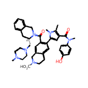 Cc1c(C(=O)N(C)c2ccc(O)cc2)cc(-c2cc3c(cc2C(=O)N2Cc4ccccc4C[C@H]2CN2CCN(C)CC2)CN(C(=O)O)CC3)n1C